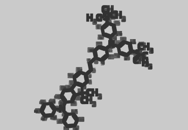 CC1(C)c2cc(/C=C/c3ccc(N(c4ccc([Si](C)(C)C)cc4)c4ccc([Si](C)(C)C)cc4)cc3)ccc2-c2ccc(N(c3ccccc3)c3ccccc3)cc21